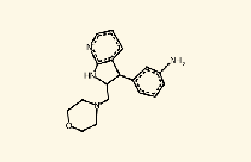 Nc1cccc(C2c3cccnc3NC2CN2CCOCC2)c1